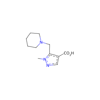 Cn1ncc(C(=O)O)c1CN1CCCCC1